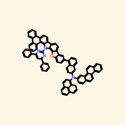 C1=Cc2cccc3ccc(N(c4ccc5c(-c6ccc7oc8c(ccc9c%10ccc%11c%12ccccc%12c%12ccccc%12c%11c%10n(-c%10nc(-c%11ccccc%11)cc(-c%11ccccc%11)n%10)c98)c7c6)cccc5c4)c4ccc5ccc6c7ccccc7ccc6c5c4)c(c23)C1